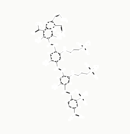 C/C=C\c1nc2c(C(N)=O)c(C)c(N=Nc3cc(C)c(N=Nc4cc(C)c(N=Nc5ccc([N+](=O)[O-])cc5S(=O)(=O)O)cc4OCCCS(=O)(=O)O)cc3OCCCS(=O)(=O)O)c(O)n2c1/C=C\C